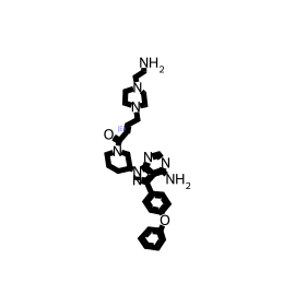 NCCN1CCN(C/C=C/C(=O)N2CCCC(n3nc(-c4ccc(Oc5ccccc5)cc4)c4c(N)ncnc43)C2)CC1